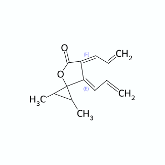 C=C/C=C1/C(=O)OC2(/C1=C/C=C)C(C)C2C